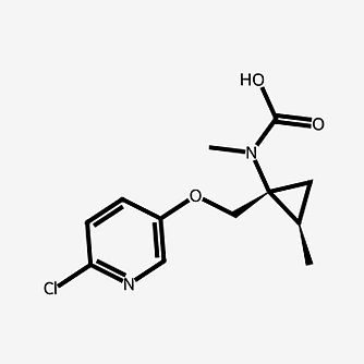 C[C@@H]1C[C@@]1(COc1ccc(Cl)nc1)N(C)C(=O)O